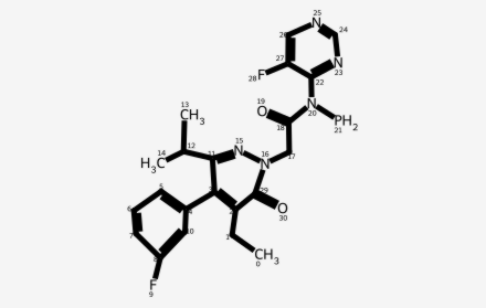 CCc1c(-c2cccc(F)c2)c(C(C)C)nn(CC(=O)N(P)c2ncncc2F)c1=O